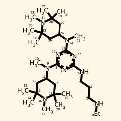 CCNCCCNc1nc(N(C)C2CC(C)(C)N(C)C(C)(C)C2)nc(N(C)C2CC(C)(C)N(C)C(C)(C)C2)n1